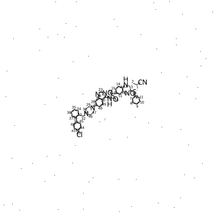 N#CCC[C@H](CSc1ccccc1)Nc1ccc(S(=O)(=O)Nc2ncnc3cc(N4CCN(Cc5ccccc5-c5ccc(Cl)cc5)CC4)ccc23)cc1[N+](=O)[O-]